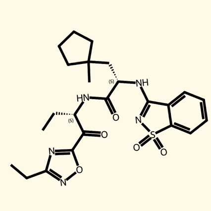 CCc1noc(C(=O)[C@H](CC)NC(=O)[C@H](CC2(C)CCCC2)NC2=NS(=O)(=O)c3ccccc32)n1